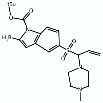 Bc1cc2cc(S(=O)(=O)C(C=C)N3CCN(C)CC3)ccc2n1C(=O)OC(C)(C)C